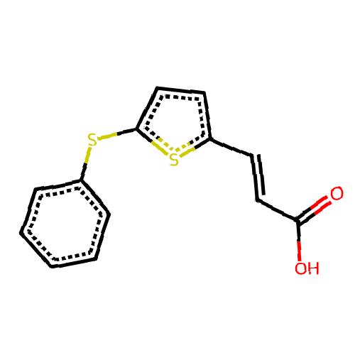 O=C(O)C=Cc1ccc(Sc2ccccc2)s1